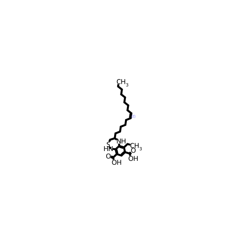 CCCCCCCC/C=C\CCCCCC1CSNc2c(C(=O)O)cc(C(=O)O)c(CC)c2N1